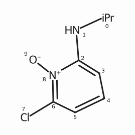 CC(C)Nc1cccc(Cl)[n+]1[O-]